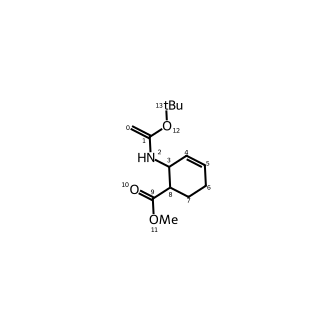 C=C(NC1C=CCCC1C(=O)OC)OC(C)(C)C